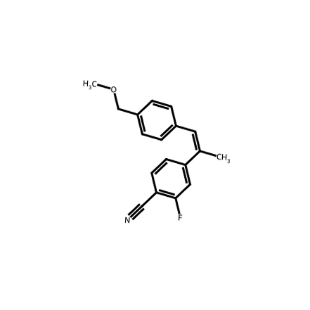 COCc1ccc(C=C(C)c2ccc(C#N)c(F)c2)cc1